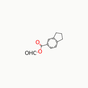 O=COC(=O)c1ccc2c(c1)CCC2